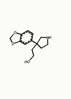 OCCC1(c2ccc3c(c2)OCO3)CCNC1